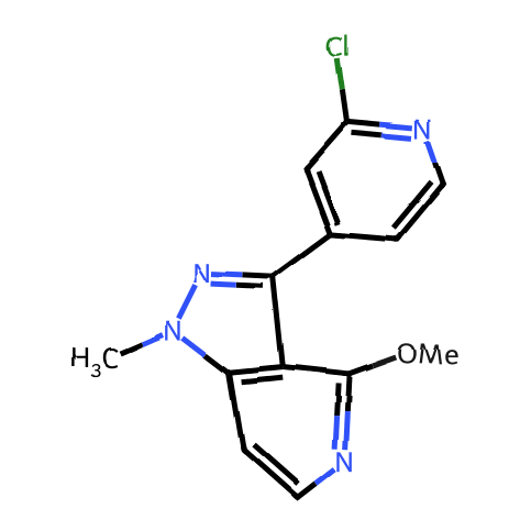 COc1nccc2c1c(-c1ccnc(Cl)c1)nn2C